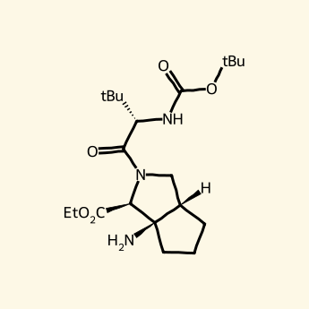 CCOC(=O)[C@H]1N(C(=O)[C@@H](NC(=O)OC(C)(C)C)C(C)(C)C)C[C@@H]2CCC[C@@]21N